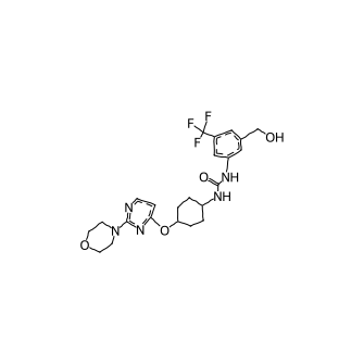 O=C(Nc1cc(CO)cc(C(F)(F)F)c1)NC1CCC(Oc2ccnc(N3CCOCC3)n2)CC1